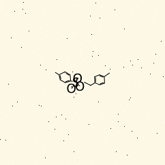 Cc1ccc(CCOS(=O)(=O)c2ccc(C)cc2)cc1